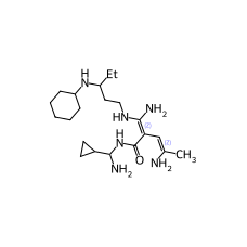 CCC(CCN/C(N)=C(/C=C(/C)N)C(=O)NC(N)C1CC1)NC1CCCCC1